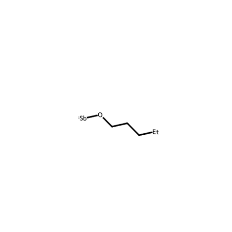 CCCCC[O][Sb]